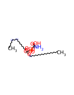 CCCCC/C=C\C/C=C\CCCCCCCC(=O)O[C@H](CO/C=C\CCCCCCCCCCCCCCCCCC)COP(=O)(O)OC[C@H](N)C(=O)O